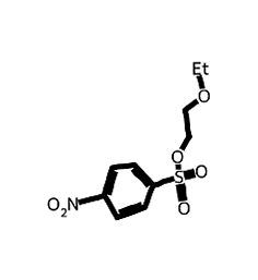 CCOCCOS(=O)(=O)c1ccc([N+](=O)[O-])cc1